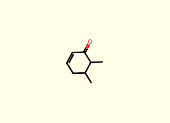 CC1CC=CC(=O)C1C